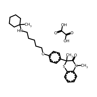 CN1C(=O)C(C)(c2ccc(OCCCCCNC3(C)CCCCC3)cc2)Sc2ccccc21.O=C(O)C(=O)O